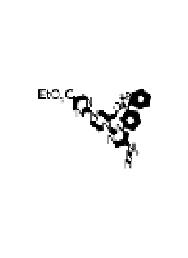 CCOC(=O)c1cnc(N2CCN(c3ncc(N=[N+]=[N-])cn3)C(CO[Si](c3ccccc3)(c3ccccc3)C(C)(C)C)C2)nc1